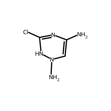 NC1=CN(N)NC(Cl)=N1